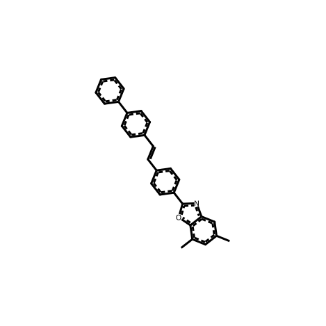 Cc1cc(C)c2oc(-c3ccc(/C=C/c4ccc(-c5ccccc5)cc4)cc3)nc2c1